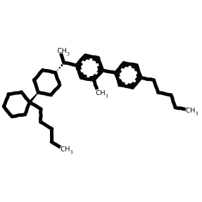 CCCCCc1ccc(-c2ccc(C(C)[C@H]3CC[C@H](C4(CCCCC)CCCCC4)CC3)cc2C)cc1